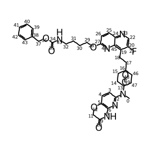 CN(c1ccc2c(n1)NC(=O)CO2)C12CCC(CCc3c(F)cnc4ccc(OCCCCNC(=O)OCc5ccccc5)nc34)(CC1)OC2